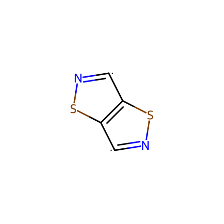 [c]1nsc2[c]nsc12